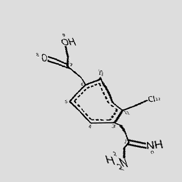 N=C(N)c1ccc(C(=O)O)cc1Cl